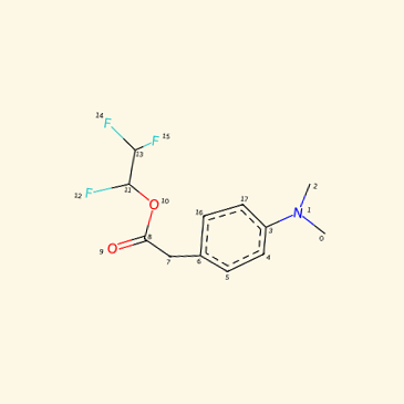 CN(C)c1ccc(CC(=O)OC(F)C(F)F)cc1